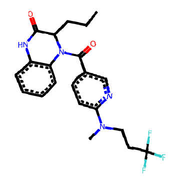 CCCC1C(=O)Nc2ccccc2N1C(=O)c1ccc(N(C)CCC(F)(F)F)nc1